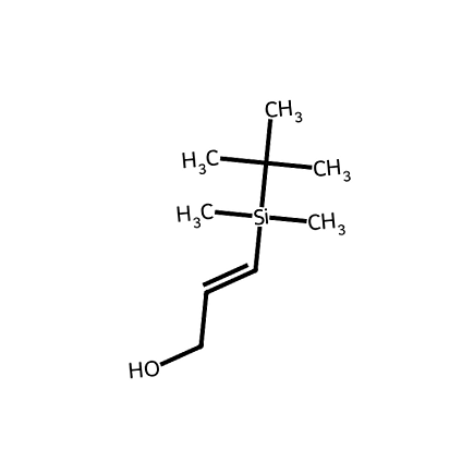 CC(C)(C)[Si](C)(C)/C=C/CO